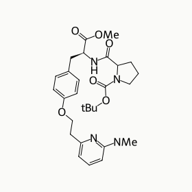 CNc1cccc(CCOc2ccc(C[C@H](NC(=O)C3CCCN3C(=O)OC(C)(C)C)C(=O)OC)cc2)n1